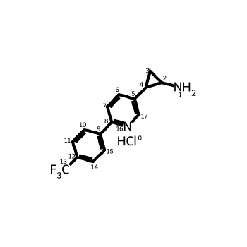 Cl.NC1CC1c1ccc(-c2ccc(C(F)(F)F)cc2)nc1